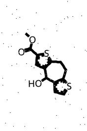 COC(=O)c1cc2c(s1)CCc1sccc1C2O